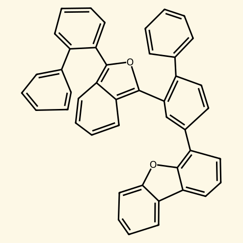 c1ccc(-c2ccccc2-c2oc(-c3cc(-c4cccc5c4oc4ccccc45)ccc3-c3ccccc3)c3ccccc23)cc1